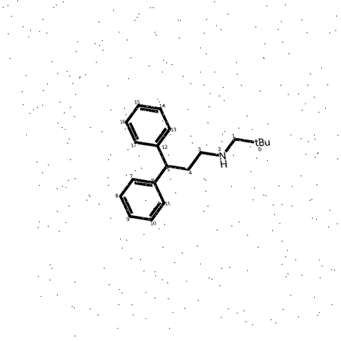 CC(C)(C)CNCCC(c1ccccc1)c1ccccc1